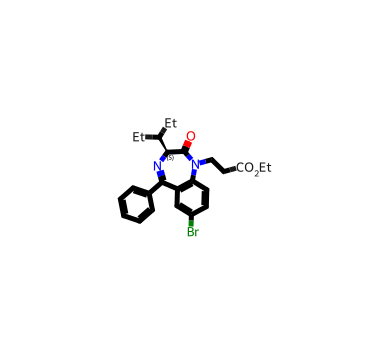 CCOC(=O)CCN1C(=O)[C@H](C(CC)CC)N=C(c2ccccc2)c2cc(Br)ccc21